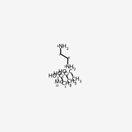 CC(=O)O.CC(=O)O.CC(=O)O.NCCN.[Mo]